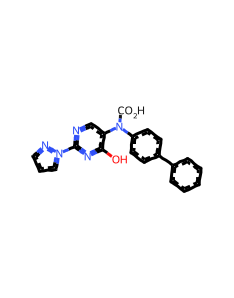 O=C(O)N(c1ccc(-c2ccccc2)cc1)c1cnc(-n2cccn2)nc1O